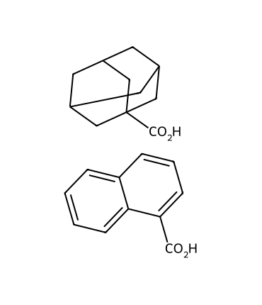 O=C(O)C12CC3CC(CC(C3)C1)C2.O=C(O)c1cccc2ccccc12